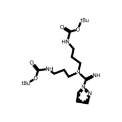 CC(C)(C)OC(=O)NCCCN(CCCNC(=O)OC(C)(C)C)C(=N)n1cccn1